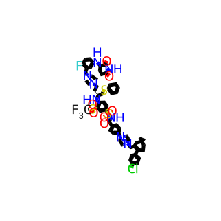 CC1(C)CCC(c2ccc(Cl)cc2)=C(CN2CCN(c3ccc(C(=O)NS(=O)(=O)c4ccc(N[C@H](CCN5CCN(Cc6cc(NC7CCC(=O)NC7=O)ccc6F)CC5)CSc5ccccc5)c(S(=O)(=O)C(F)(F)F)c4)cc3)CC2)C1